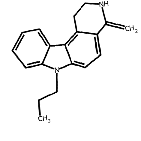 C=C1NCCc2c1ccc1c2c2ccccc2n1CCC